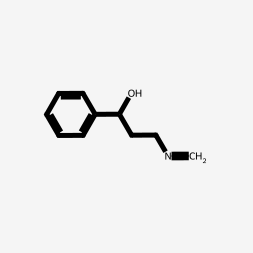 C=NCCC(O)c1ccccc1